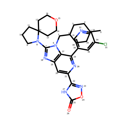 CC1CCC(Cn2c(N3CCCC34CCOCC4)nc3cc(-c4noc(=O)[nH]4)nc(-c4cncc(Cl)c4)c32)CC1